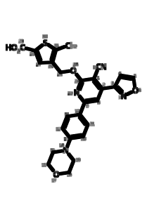 N#Cc1c(-c2ccon2)cc(-c2ccc(N3CCOCC3)cc2)nc1OCc1cc(C(=O)O)sc1Cl